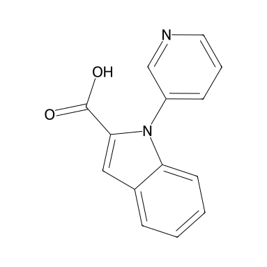 O=C(O)c1cc2ccccc2n1-c1cccnc1